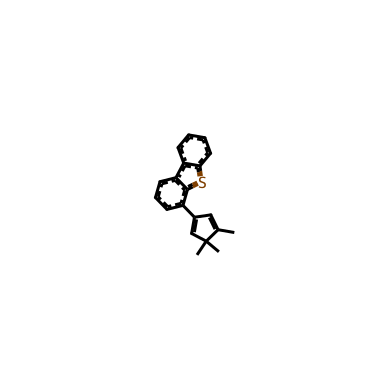 CC1=CC(c2cccc3c2sc2ccccc23)=CC1(C)C